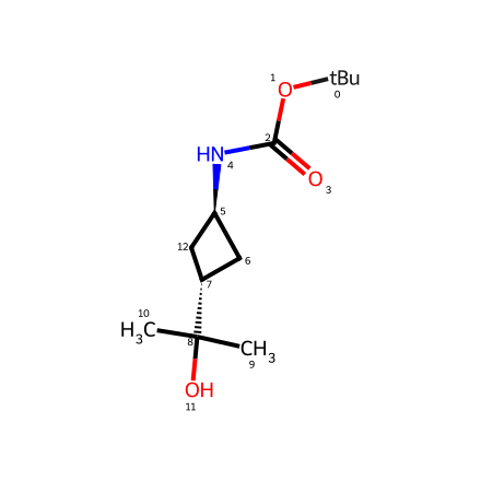 CC(C)(C)OC(=O)N[C@H]1C[C@H](C(C)(C)O)C1